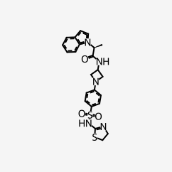 C[C@@H](C(=O)NC1CN(c2ccc(S(=O)(=O)NC3=NCCS3)cc2)C1)n1ccc2ccccc21